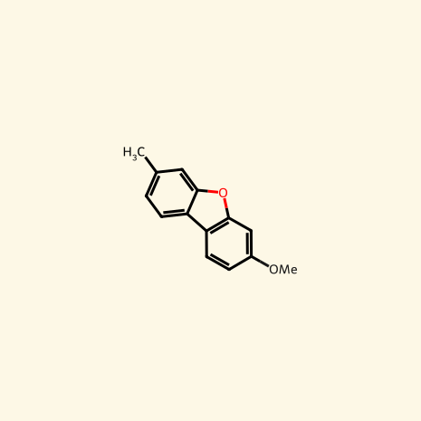 COc1ccc2c(c1)oc1cc(C)ccc12